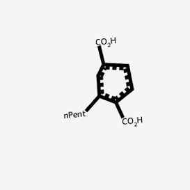 CCCCCc1cc(C(=O)O)ccc1C(=O)O